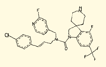 O=C(N(CC=Cc1ccc(Cl)cc1)Cc1ccnc(F)c1)N1CC2(CCNCC2)c2c(F)cc(C(F)(F)F)cc21